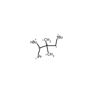 CCCCC([C](C)C)C(C)(C)CC(C)(C)C